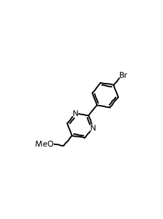 COCc1cnc(-c2ccc(Br)cc2)nc1